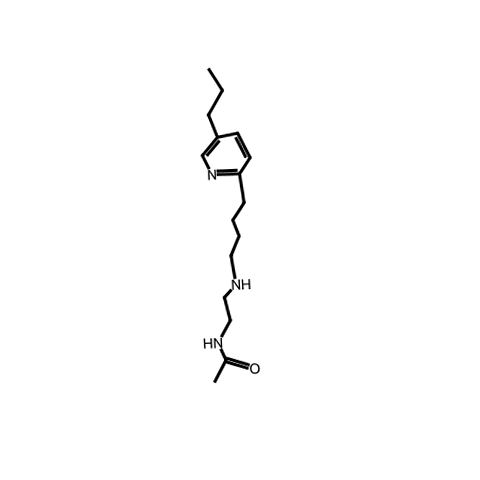 CCCc1ccc(CCCCNCCNC(C)=O)nc1